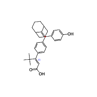 CC(C)(C)/C(=C\C(=O)O)c1ccc(C(=C2C3CCCC2CCC3)c2ccc(O)cc2)cc1